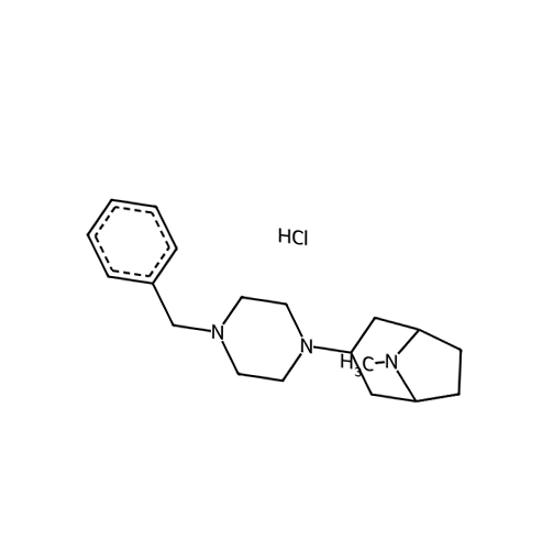 CN1C2CCC1CC(N1CCN(Cc3ccccc3)CC1)C2.Cl